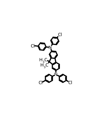 CC1(C)c2cc(N(c3ccc(Cl)cc3)c3ccc(Cl)cc3)ccc2-c2ccc(N(c3ccc(Cl)cc3)c3ccc(Cl)cc3)cc21